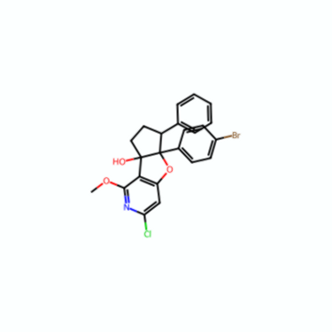 COc1nc(Cl)cc2c1C1(O)CCC(c3ccccc3)C1(c1ccc(Br)cc1)O2